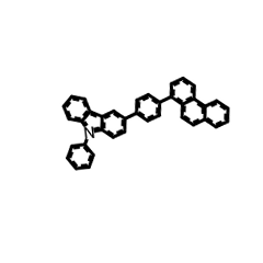 c1ccc(-n2c3ccccc3c3cc(-c4ccc(-c5cccc6c5ccc5ccccc56)cc4)ccc32)cc1